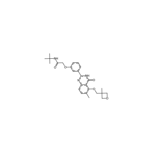 Cc1ccc2nc(-c3cccc(OCC(=O)NC(C)(C)C)c3)[nH]c(=O)c2c1OCC1(C)COC1